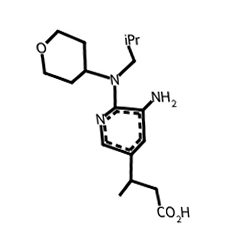 CC(C)CN(c1ncc(C(C)CC(=O)O)cc1N)C1CCOCC1